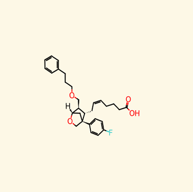 O=C(O)CCC/C=C\C[C@H]1[C@H](COCCCc2ccccc2)[C@@H]2C[C@@]1(c1ccc(F)cc1)CO2